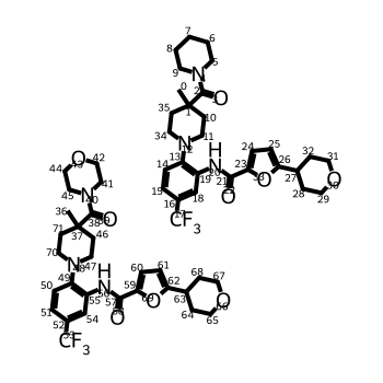 CC1(C(=O)N2CCCCC2)CCN(c2ccc(C(F)(F)F)cc2NC(=O)c2ccc(C3CCOCC3)o2)CC1.CC1(C(=O)N2CCOCC2)CCN(c2ccc(C(F)(F)F)cc2NC(=O)c2ccc(C3CCOCC3)o2)CC1